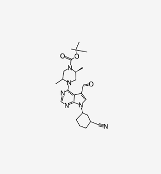 CC1CN(C(=O)OC(C)(C)C)[C@@H](C)CN1c1ncnc2c1c(C=O)cn2C1CCCC(C#N)C1